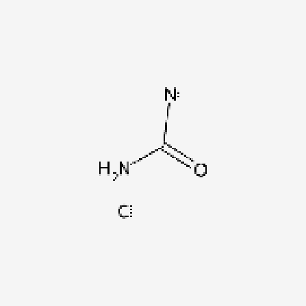 [C].[N]C(N)=O